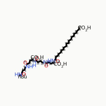 CCCCNC(=O)CCCNC(=O)CC[C@H](NC(=O)CCCNC(=O)CC[C@H](NC(=O)CCCCCCCCCCCCCCCCCCC(=O)O)C(=O)O)C(=O)O